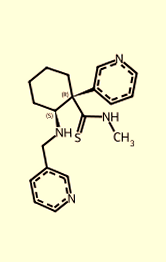 CNC(=S)[C@@]1(c2cccnc2)CCCC[C@@H]1NCc1cccnc1